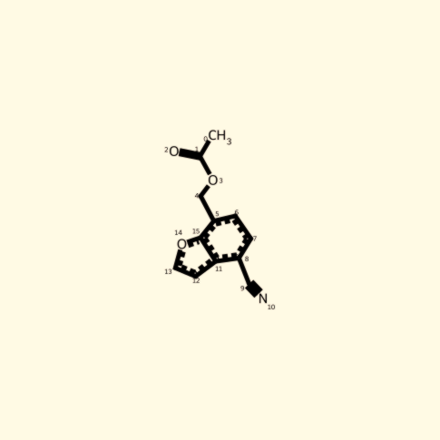 CC(=O)OCc1ccc(C#N)c2ccoc12